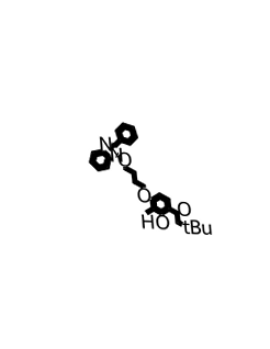 Cc1c(OCCCCOn2c(-c3ccccc3)nc3ccccc32)ccc(C(=O)CC(C)(C)C)c1O